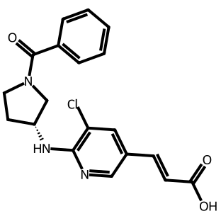 O=C(O)C=Cc1cnc(N[C@@H]2CCN(C(=O)c3ccccc3)C2)c(Cl)c1